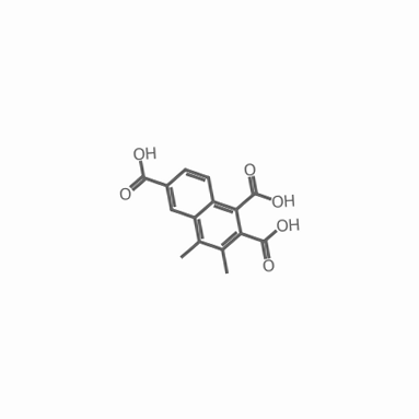 Cc1c(C(=O)O)c(C(=O)O)c2ccc(C(=O)O)cc2c1C